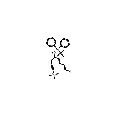 CC(C)(C)[Si](OC(C=CC=CI)CC#C[Si](C)(C)C)(c1ccccc1)c1ccccc1